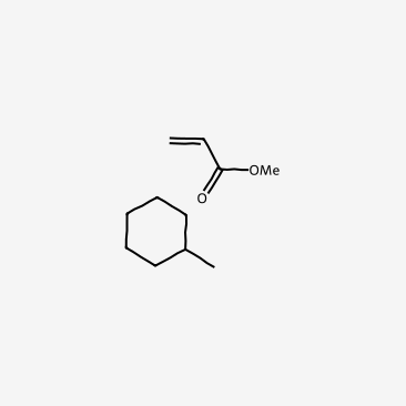 C=CC(=O)OC.CC1CCCCC1